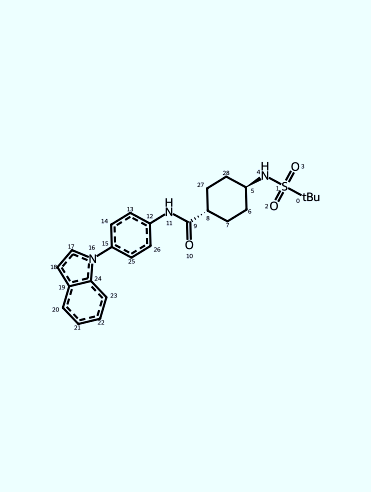 CC(C)(C)S(=O)(=O)N[C@H]1CC[C@H](C(=O)Nc2ccc(-n3ccc4ccccc43)cc2)CC1